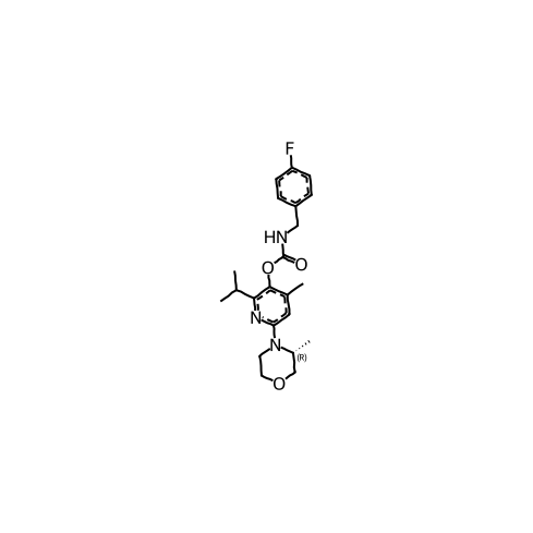 Cc1cc(N2CCOC[C@H]2C)nc(C(C)C)c1OC(=O)NCc1ccc(F)cc1